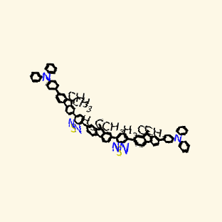 CC1(C)c2cc(-c3ccc(N(c4ccccc4)c4ccccc4)cc3)ccc2-c2ccc(-c3ccc(-c4ccc5c(c4)C(C)(C)c4cc(-c6ccc(-c7ccc8c(c7)C(C)(C)c7cc(-c9ccc(N(c%10ccccc%10)c%10ccccc%10)cc9)ccc7-8)c7nsnc67)ccc4-5)c4nsnc34)cc21